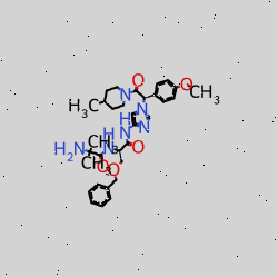 COc1ccc([C@H](C(=O)N2CCC(C)CC2)n2cnc(NC(=O)[C@@H](COCc3ccccc3)NC(=O)C(C)(C)N)c2)cc1